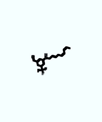 C/C=C\C=C/C/C=C/CNC1=CC(C(F)(F)F)CC(C=O)=C1